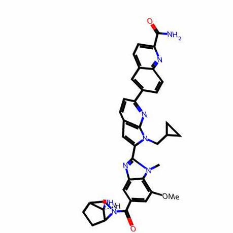 COc1cc(C(=O)N2CC3CCC2[C@@H]3N)cc2nc(-c3cc4ccc(-c5ccc6nc(C(N)=O)ccc6c5)nc4n3CC3CC3)n(C)c12